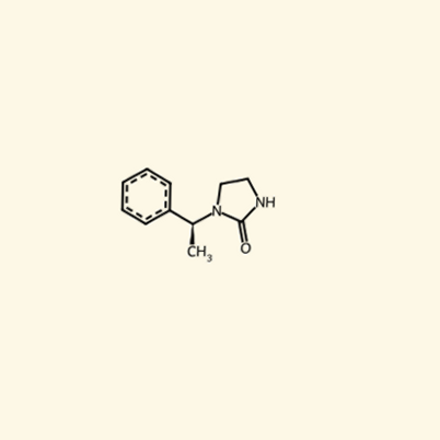 C[C@@H](c1ccccc1)N1CCNC1=O